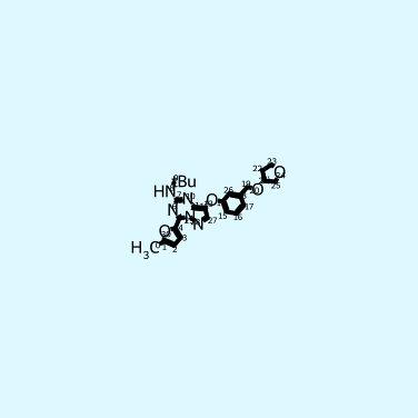 Cc1ccc(-c2nc(NC(C)(C)C)nc3c(Oc4cccc(CO[C@H]5CCOC5)c4)cnn23)o1